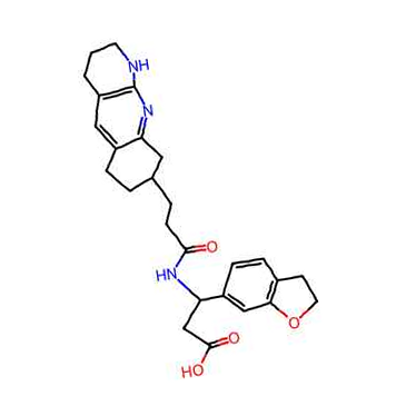 O=C(O)CC(NC(=O)CCC1CCc2cc3c(nc2C1)NCCC3)c1ccc2c(c1)OCC2